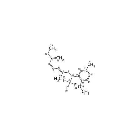 C=C(/C=C\C=C(/C)CC(c1cc(C)ccc1OC)C(F)(F)F)CC